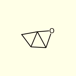 C1C2C3OC123